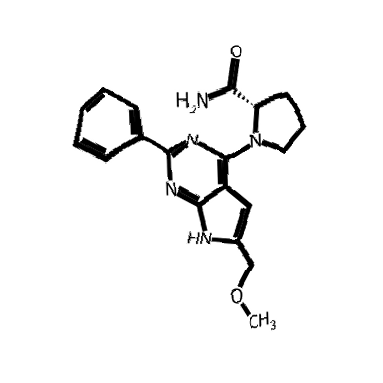 COCc1cc2c(N3CCC[C@H]3C(N)=O)nc(-c3ccccc3)nc2[nH]1